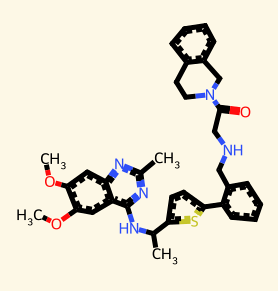 COc1cc2nc(C)nc(NC(C)c3ccc(-c4ccccc4CNCC(=O)N4CCc5ccccc5C4)s3)c2cc1OC